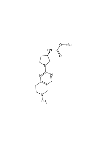 CN1CCc2nc(N3CC[C@@H](NC(=O)OC(C)(C)C)C3)ncc2C1